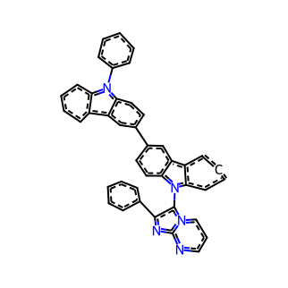 c1ccc(-c2nc3ncccn3c2-n2c3ccccc3c3cc(-c4ccc5c(c4)c4ccccc4n5-c4ccccc4)ccc32)cc1